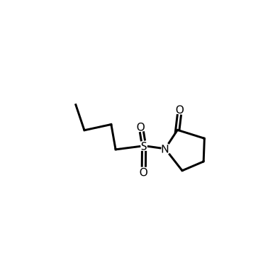 CCCCS(=O)(=O)N1CCCC1=O